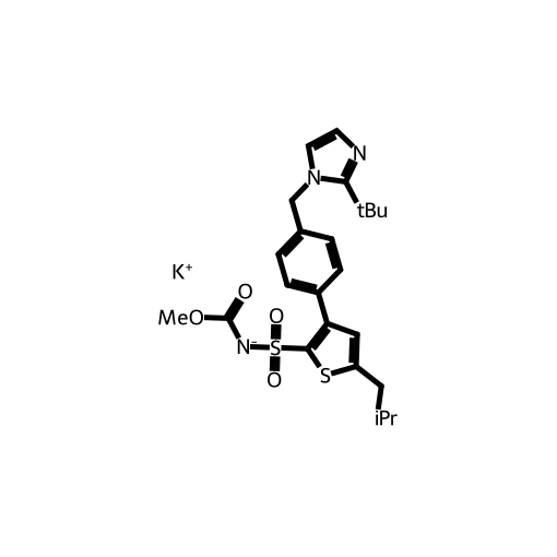 COC(=O)[N-]S(=O)(=O)c1sc(CC(C)C)cc1-c1ccc(Cn2ccnc2C(C)(C)C)cc1.[K+]